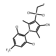 Cc1c(C#N)c(S(Cl)(Cl)CF)c(C)n1-c1c(Cl)cc(C(F)(F)F)cc1Cl